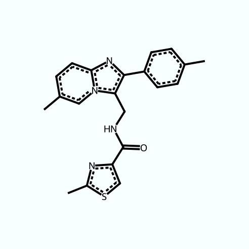 Cc1ccc(-c2nc3ccc(C)cn3c2CNC(=O)c2csc(C)n2)cc1